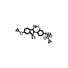 CCn1c(-c2ccc(NS(=O)(=O)C3CC3)cc2)c(N)c2ccc(OC3CC3)cc21